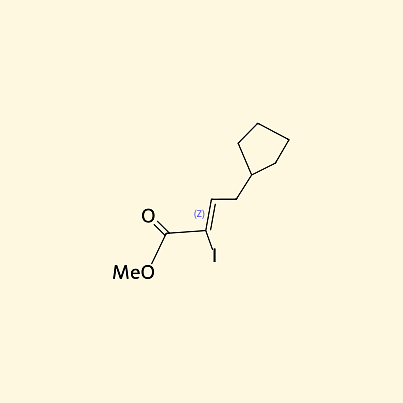 COC(=O)/C(I)=C/CC1CCCC1